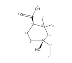 CC[C@]1(O)CC[C@@H](C(=O)O)C(C)(C)C1